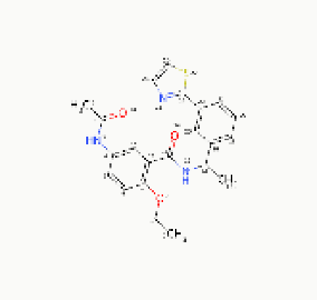 CCOc1ccc(NC(C)=O)cc1C(=O)NC(C)c1cccc(-c2nccs2)c1